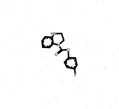 O=C(Oc1ccc(F)cc1)N1CCNc2ccccc21